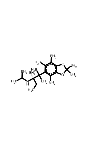 Bc1c(B)c(C(B)(B)[C@@](B)(CC)NC(B)B)c(B)c2c1OC(B)(B)O2